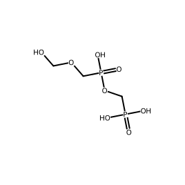 O=P(O)(O)COP(=O)(O)COCO